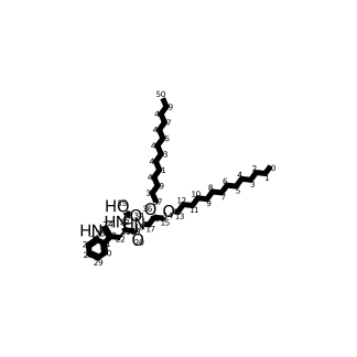 CCCCCCCCCCCCCCOCC(CNC(=O)[C@@H](Cc1c[nH]c2ccccc12)NC(=O)O)OCCCCCCCCCCCCCC